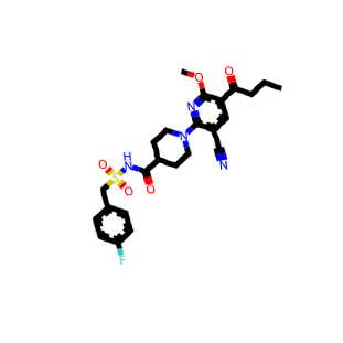 CCCC(=O)c1cc(C#N)c(N2CCC(C(=O)NS(=O)(=O)Cc3ccc(F)cc3)CC2)nc1OC